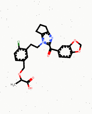 CC(OCc1ccc(Cl)c(CCn2c(C(=O)c3ccc4c(c3)OCO4)nc3c2CCC3)c1)C(=O)O